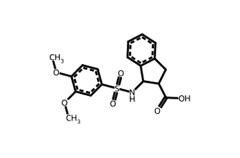 COc1ccc(S(=O)(=O)NC2c3ccccc3CC2C(=O)O)cc1OC